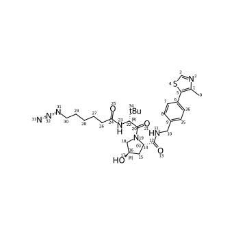 Cc1ncsc1-c1ccc(CNC(=O)[C@@H]2C[C@@H](O)CN2C(=O)[C@H](NC(=O)CCCCCN=[N+]=[N-])C(C)(C)C)cc1